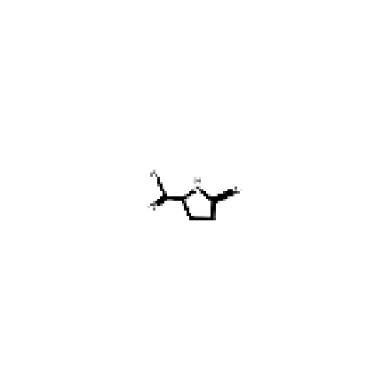 [N]C(=O)C1CCC(=O)N1